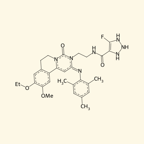 CCOc1cc2c(cc1OC)-c1c/c(=N\c3c(C)cc(C)cc3C)n(CCNC(=O)C3=C(F)NNN3)c(=O)n1CC2